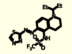 CCC(CC)N1CCCc2c1ccc(N=Nc1nncs1)c2NS(=O)(=O)C(F)(F)F